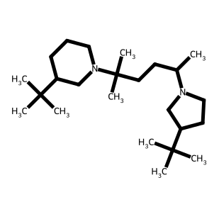 CC(CCC(C)(C)N1CCCC(C(C)(C)C)C1)N1CCC(C(C)(C)C)C1